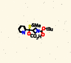 CSSC(OC(=O)O)(c1ccccn1)C1CN(C(=O)OC(C)(C)C)C1